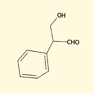 O=[C+]C(CO)c1ccccc1